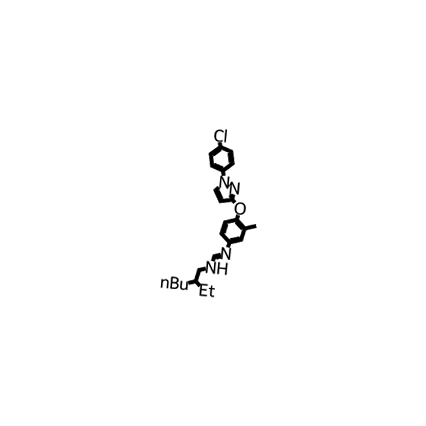 CCCCC(CC)CN/C=N/c1ccc(Oc2ccn(-c3ccc(Cl)cc3)n2)c(C)c1